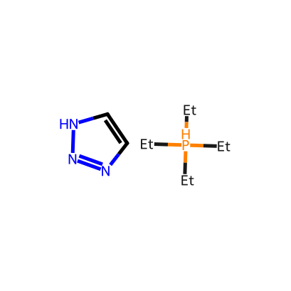 CC[PH](CC)(CC)CC.c1c[nH]nn1